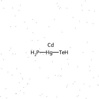 [Cd].[PH2][Hg][TeH]